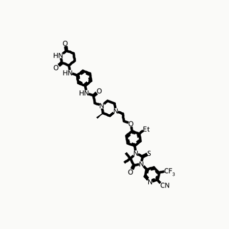 CCc1cc(N2C(=S)N(c3cnc(C#N)c(C(F)(F)F)c3)C(=O)C2(C)C)ccc1OCCN1CCN(CC(=O)Nc2cccc(NC3CCC(=O)NC3=O)c2)[C@H](C)C1